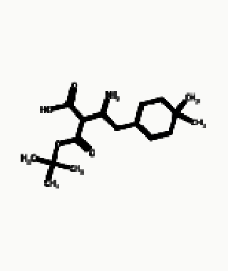 CC1(C)CCC(CC(N)C(C(=O)O)C(=O)OC(C)(C)C)CC1